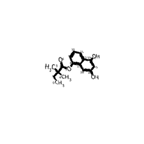 CCC(C)(C)C(=O)Oc1cccc2c(O)cc(O)cc12